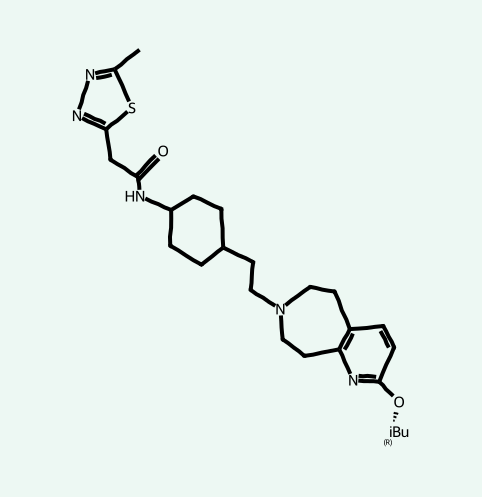 CC[C@@H](C)Oc1ccc2c(n1)CCN(CCC1CCC(NC(=O)Cc3nnc(C)s3)CC1)CC2